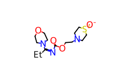 CC/C(=N/C(=O)OCCN1CC[S+]([O-])CC1)N1CCOCC1